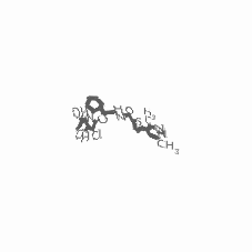 Cc1cc(-c2ccc(C(=O)NCC(=O)C3CCCCC3N3C[C@H](Cl)[C@H]4OCC(=O)[C@H]43)s2)c(C)nn1